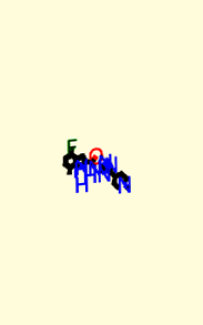 Cc1ccc(F)c2cc(C(=O)Nc3nnc(C4CCN(C)CC4)[nH]3)[nH]c12